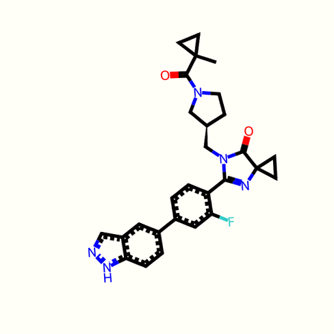 CC1(C(=O)N2CC[C@@H](CN3C(=O)C4(CC4)N=C3c3ccc(-c4ccc5[nH]ncc5c4)cc3F)C2)CC1